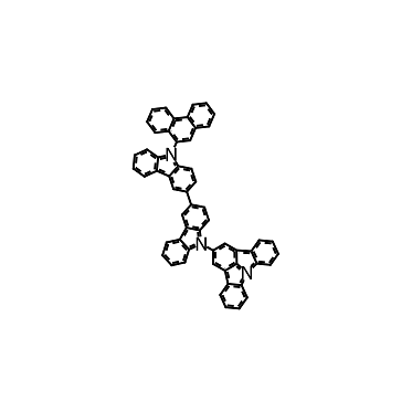 c1ccc2c(c1)cc(-n1c3ccccc3c3cc(-c4ccc5c(c4)c4ccccc4n5-c4cc5c6ccccc6n6c7ccccc7c(c4)c56)ccc31)c1ccccc12